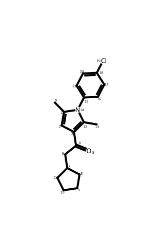 Cc1cc(C(=O)CC2CCCC2)c(C)n1-c1ccc(Cl)cc1